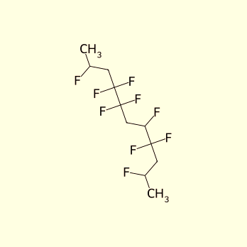 CC(F)CC(F)(F)C(F)CC(F)(F)C(F)(F)CC(C)F